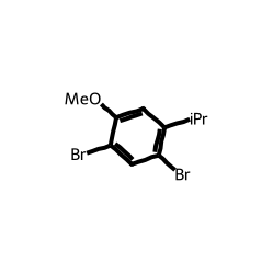 COc1cc(C(C)C)c(Br)cc1Br